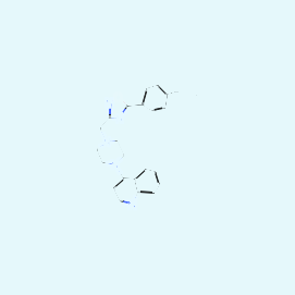 Cc1ccc(-c2nc(CN3CCN(c4ccnc5ccccc45)CC3)no2)cc1